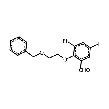 CCc1cc(I)cc(C=O)c1OCCOCc1ccccc1